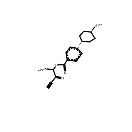 C#CC(=O)C(CCCCC)OC(=O)c1ccc([C@H]2CC[C@H](CCCCCC)CC2)cc1